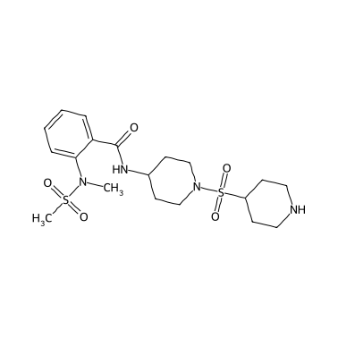 CN(c1ccccc1C(=O)NC1CCN(S(=O)(=O)C2CCNCC2)CC1)S(C)(=O)=O